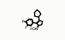 ON=C1CCC(C2CCCCC2)=C1c1ccc(F)c(F)c1